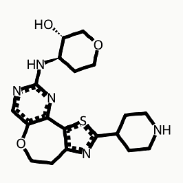 O[C@@H]1COCC[C@H]1Nc1ncc2c(n1)-c1sc(C3CCNCC3)nc1CCO2